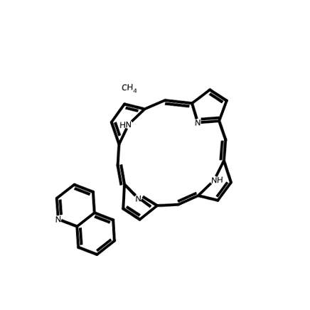 C.C1=Cc2cc3ccc(cc4nc(cc5ccc(cc1n2)[nH]5)C=C4)[nH]3.c1ccc2ncccc2c1